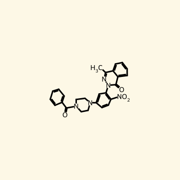 Cc1nn(-c2cc(N3CCN(C(=O)c4ccccc4)CC3)ccc2[N+](=O)[O-])c(=O)c2ccccc12